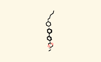 CCCCC[C@H]1CC[C@H](c2ccc(-c3ccc([C@@H]4CO[C@@H](CC)CO4)cc3)cc2)CC1